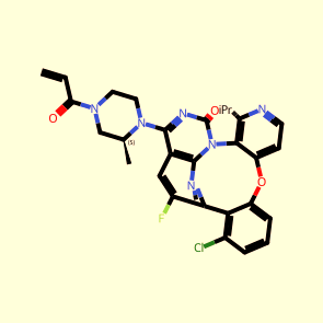 C=CC(=O)N1CCN(c2nc(=O)n3c4nc(c(F)cc24)c2c(Cl)cccc2oc2ccnc(C(C)C)c23)[C@@H](C)C1